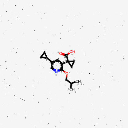 CC(C)COc1ncc(C2CC2)cc1C1(C(=O)O)CC1